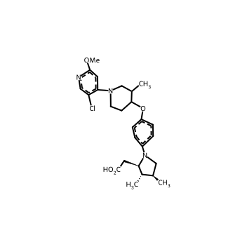 COc1cc(N2CCC(Oc3ccc(N4C[C@@H](C)[C@H](C)[C@H]4CC(=O)O)cc3)C(C)C2)c(Cl)cn1